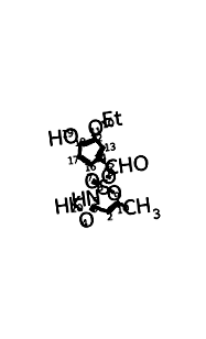 CC1=CC(=O)NS(=O)(=O)O1.CCOc1cc(C=O)ccc1O.[KH]